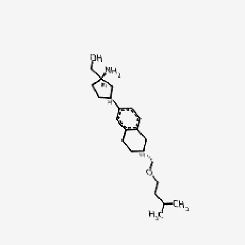 CC(C)CCOC[C@@H]1CCc2cc([C@H]3CC[C@](N)(CO)C3)ccc2C1